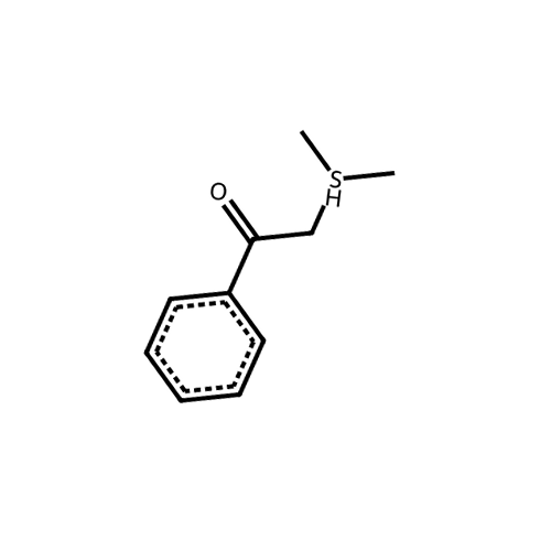 C[SH](C)CC(=O)c1ccccc1